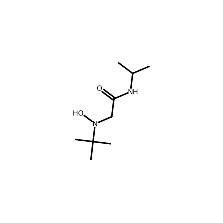 CC(C)NC(=O)CN(O)C(C)(C)C